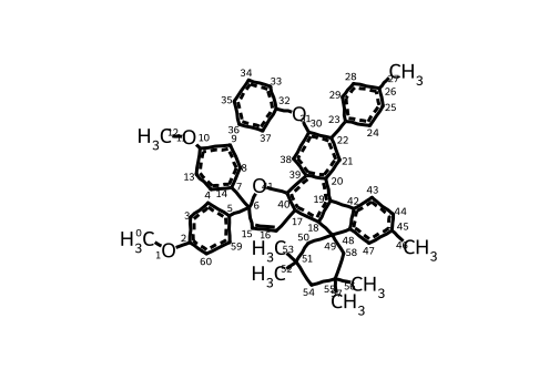 COc1ccc(C2(c3ccc(OC)cc3)C=Cc3c4c(c5cc(-c6ccc(C)cc6)c(Oc6ccccc6)cc5c3O2)-c2ccc(C)cc2C42CC(C)(C)CC(C)(C)C2)cc1